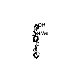 CN[C@H](CN1CC[C@H](O)C1)C1(C)C=CC(OCCOC2CCCCO2)=CC1